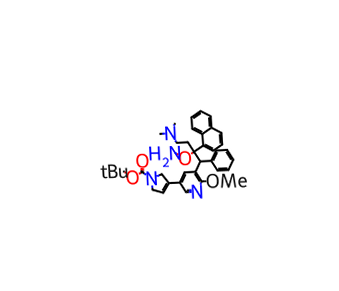 COc1ncc(C2=CCN(C(=O)OC(C)(C)C)C2)cc1C(c1ccccc1)C(CCN(C)C)(ON)c1cccc2ccccc12